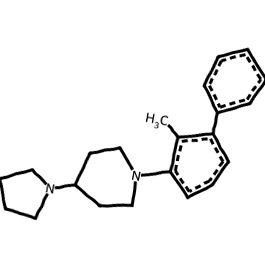 Cc1c(-c2ccccc2)cccc1N1CCC(N2CCCC2)CC1